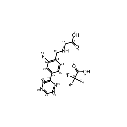 O=C(O)C(F)(F)F.O=C(O)CNCc1ccc(-c2nncnn2)cc1F